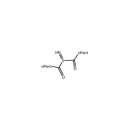 CCCCCC(=O)S(=N)C(=O)CCCCC